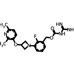 Cc1ccc(OC2CN(c3cccc(COC(=O)NC(=N)N)c3F)C2)c(C)n1